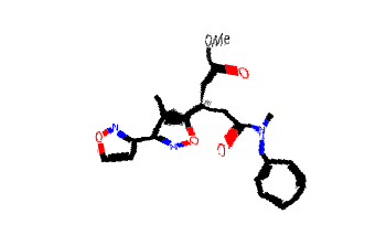 COC(=O)C[C@@H](CC(=O)N(C)c1ccccc1)c1onc(-c2ccon2)c1C